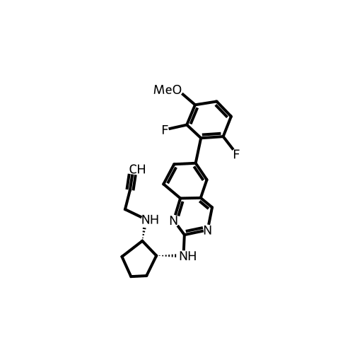 C#CCN[C@H]1CCC[C@H]1Nc1ncc2cc(-c3c(F)ccc(OC)c3F)ccc2n1